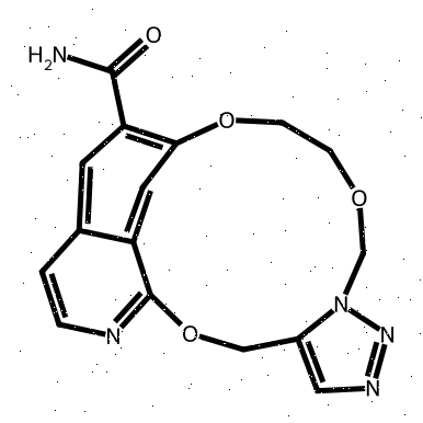 NC(=O)c1cc2ccnc3c2cc1OCCOCn1nncc1CO3